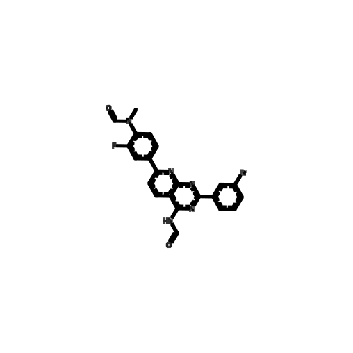 CN(C=O)c1ccc(-c2ccc3c(NC=O)nc(-c4cccc(Br)c4)nc3n2)cc1F